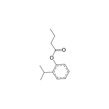 CCCC(=O)Oc1ccccc1C(C)C